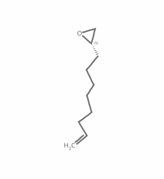 C=CCCCCCC[C@H]1CO1